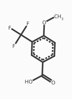 COc1ccc(C(=O)O)cc1C(F)(F)F